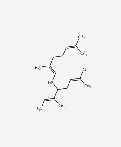 C/C=C(\C)C(CC=C(C)C)N/C=C(\C)CCC=C(C)C